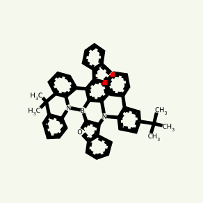 CC(C)(C)c1ccc(N2c3cc4sc5ccccc5c4c4c3B(c3oc5ccccc5c32)N2c3ccccc3C(C)(C)c3cccc-4c32)c(-c2ccccc2)c1